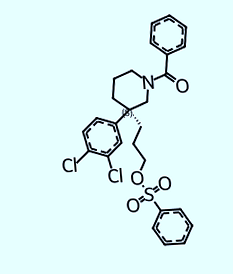 O=C(c1ccccc1)N1CCC[C@](CCCOS(=O)(=O)c2ccccc2)(c2ccc(Cl)c(Cl)c2)C1